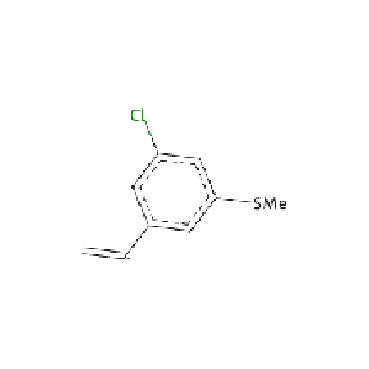 C=[C]c1cc(Cl)cc(SC)c1